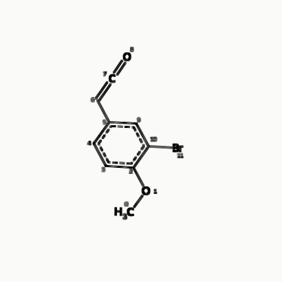 COc1ccc(C=C=O)cc1Br